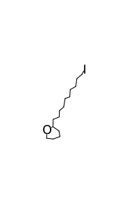 ICCCCCCCCCCC1CCCCO1